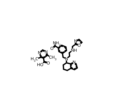 Cc1ncnc(C)c1C(=O)O.NC(=O)c1cccc(CN(CCNCc2ncco2)C2CCCc3cccnc32)c1